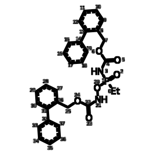 CCP(=O)(NC(=O)OCc1ccccc1-c1ccccc1)ONC(=O)OCc1ccccc1-c1ccccc1